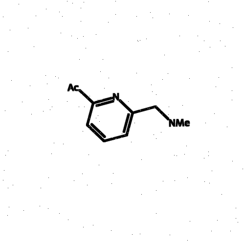 CNCc1cccc(C(C)=O)n1